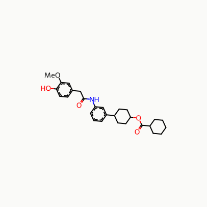 COc1cc(CC(=O)Nc2cccc(C3CCC(OC(=O)C4CCCCC4)CC3)c2)ccc1O